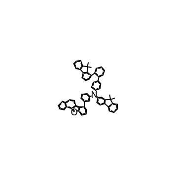 CC1(C)c2ccccc2-c2ccc(N(c3ccc(-c4ccccc4-c4cccc5c4C(C)(C)c4ccccc4-5)cc3)c3cccc(-c4cccc5oc6c7ccccc7ccc6c45)c3)cc21